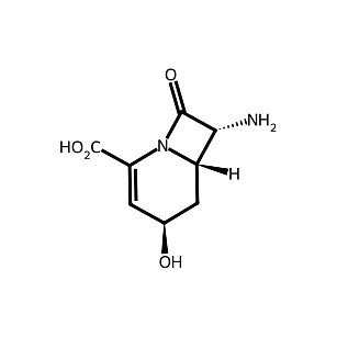 N[C@H]1C(=O)N2C(C(=O)O)=C[C@H](O)C[C@@H]12